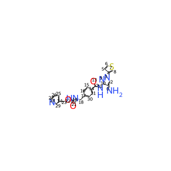 Nc1cn(-c2ccsc2)nc1NC(=O)c1ccc(CNC(=O)OCc2cccnc2)cc1